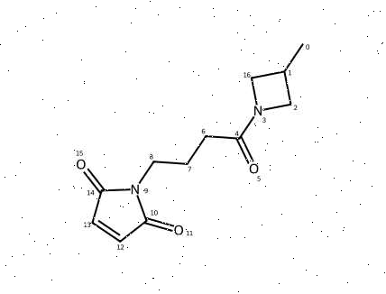 CC1CN(C(=O)CCCN2C(=O)C=CC2=O)C1